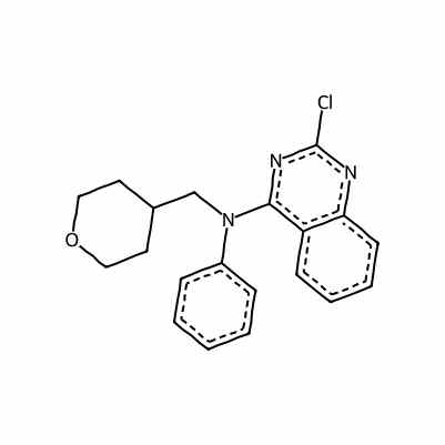 Clc1nc(N(CC2CCOCC2)c2ccccc2)c2ccccc2n1